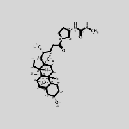 CNC(=O)N[C@H]1CCN(C(=O)CC[C@@H](C)[C@H]2CC[C@H]3[C@@H]4CC=C5C[C@@H](O)CC[C@]5(C)[C@H]4CC[C@]23C)C1